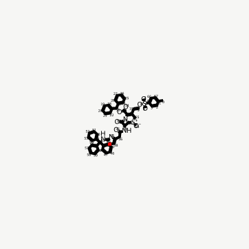 Cc1ccc(S(=O)(=O)OC=CC2=C(C(=O)OC(c3ccccc3)c3ccccc3)N3C(=O)C(NC(=O)Cc4csc(NC(c5ccccc5)(c5ccccc5)c5ccccc5)n4)C3[S+]([O-])C2)cc1